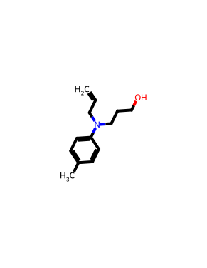 C=CCN(CCCO)c1ccc(C)cc1